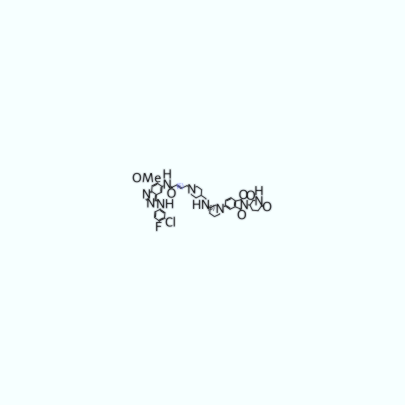 COc1cc2ncnc(Nc3ccc(F)c(Cl)c3)c2cc1NC(=O)/C=C/CN1CCC(CN[C@H]2CCCN(c3ccc4c(c3)C(=O)N(C3CCC(=O)NC3=O)C4=O)C2)CC1